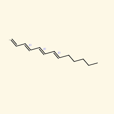 [CH]=C/C=C/C=C/C=C/CCCCC